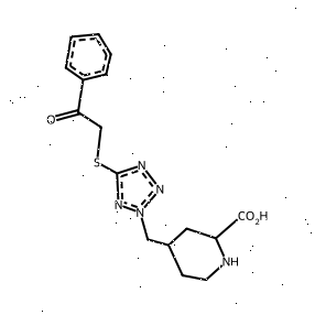 O=C(CSc1nnn(CC2CCNC(C(=O)O)C2)n1)c1ccccc1